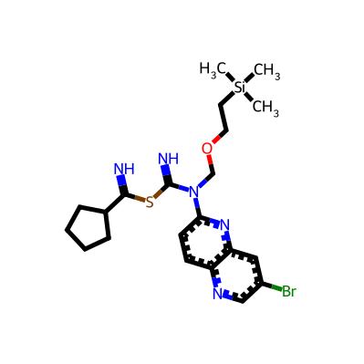 C[Si](C)(C)CCOCN(C(=N)SC(=N)C1CCCC1)c1ccc2ncc(Br)cc2n1